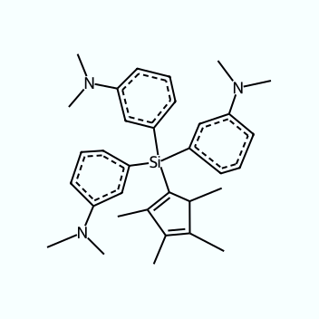 CC1=C(C)C(C)C([Si](c2cccc(N(C)C)c2)(c2cccc(N(C)C)c2)c2cccc(N(C)C)c2)=C1C